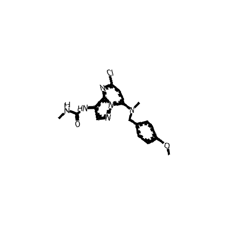 CNC(=O)Nc1cnn2c(N(C)Cc3ccc(OC)cc3)cc(Cl)nc12